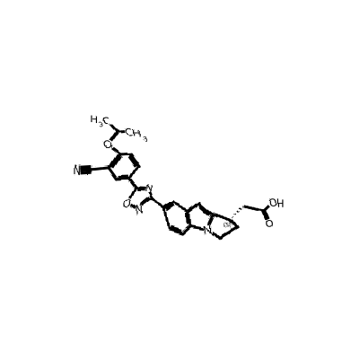 CC(C)Oc1ccc(-c2nc(-c3ccc4c(c3)cc3n4CC[C@H]3CC(=O)O)no2)cc1C#N